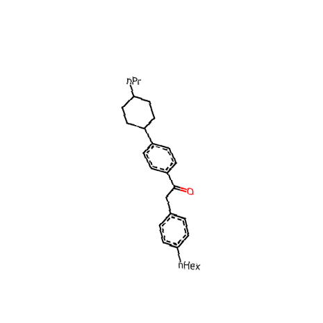 CCCCCCc1ccc(CC(=O)c2ccc(C3CCC(CCC)CC3)cc2)cc1